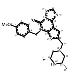 COc1ccc(Cn2c(=O)n3ncnc3c3cc(CN4C[C@@H](C)N[C@@H](C)C4)sc32)cc1